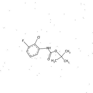 CC(C)(C)OC(=O)Nc1cccc(F)c1Cl